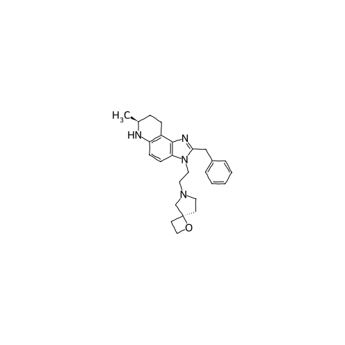 C[C@H]1CCc2c(ccc3c2nc(Cc2ccccc2)n3CCN2CC[C@]3(CCO3)C2)N1